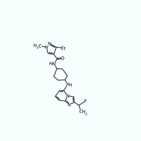 CCc1nn(C)cc1C(=O)NC1CCC(Pc2cccc3nc(C(C)F)cn23)CC1